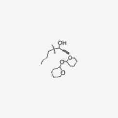 C#CC(O)C(C)(C)CCCC.C1CCC(OC2CCCCO2)OC1